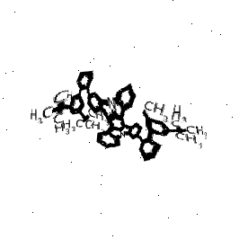 CCc1cc(-c2ccccc2-c2ccc3c4c5c6ccccc6n6c7cc(-c8ccccc8-c8cc(C(C)(C)C)cc(C(C)(C)C)c8)ccc7c(c7c8ccccc8n(c3c2)c74)c56)cc(C(C)(C)C)c1